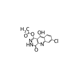 CC(=O)Oc1n[nH]c(=O)c2nc3cc(Cl)ccc3c(O)c12